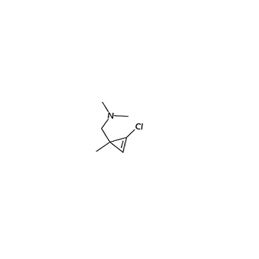 CN(C)CC1(C)C=C1Cl